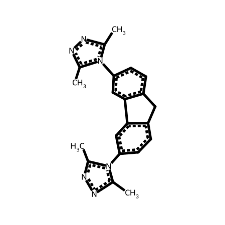 Cc1nnc(C)n1-c1ccc2c(c1)-c1cc(-n3c(C)nnc3C)ccc1C2